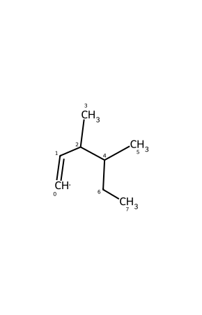 [CH]=CC(C)C(C)CC